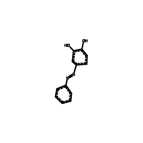 Oc1ccc(/N=N/c2ccccc2)cc1O